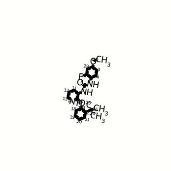 COc1ccc(NC(=O)Nc2cccnc2Oc2ccccc2C(C)(C)C)c(F)c1